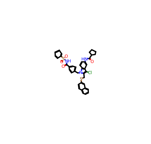 O=C(NS(=O)(=O)c1ccccc1)c1ccc(Cn2c(CSc3ccc4ccccc4c3)c(Cl)c3cc(NC(=O)C4CCCC4)ccc32)cc1